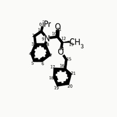 CC(C)C1Cc2ccccc2N1C(=O)[C@@H](C)OCc1ccccc1